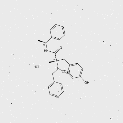 C[C@H](NC(=O)[C@](C)(Cc1ccc(O)cc1)N(Cc1ccncc1)C(=O)O)c1ccccc1.Cl